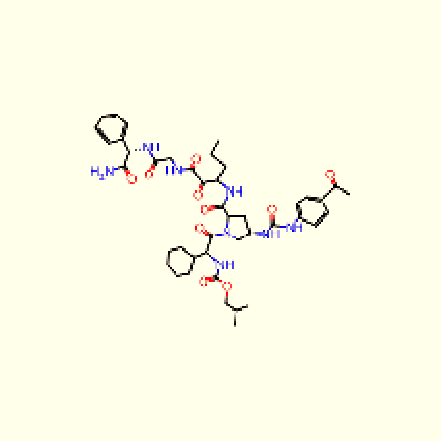 CCCC(NC(=O)C1C[C@@H](NC(=O)Nc2ccc(C(C)=O)cc2)CN1C(=O)[C@@H](NC(=O)OCC(C)C)C1CCCCC1)C(=O)C(=O)NCC(=O)N[C@H](C(N)=O)c1ccccc1